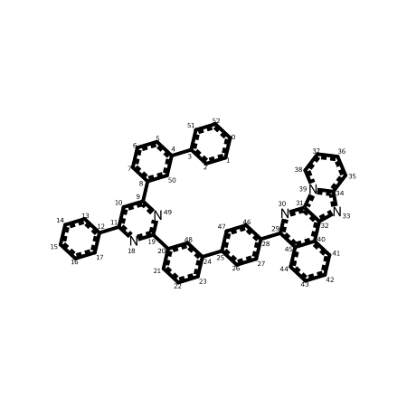 c1ccc(-c2cccc(-c3cc(-c4ccccc4)nc(-c4cccc(-c5ccc(-c6nc7c(nc8ccccn87)c7ccccc67)cc5)c4)n3)c2)cc1